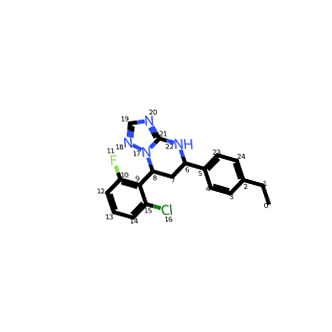 CCc1ccc(C2CC(c3c(F)cccc3Cl)n3ncnc3N2)cc1